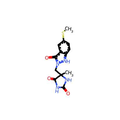 CSc1ccc2[nH]n(CC3(C)NC(=O)NC3=O)c(=O)c2c1